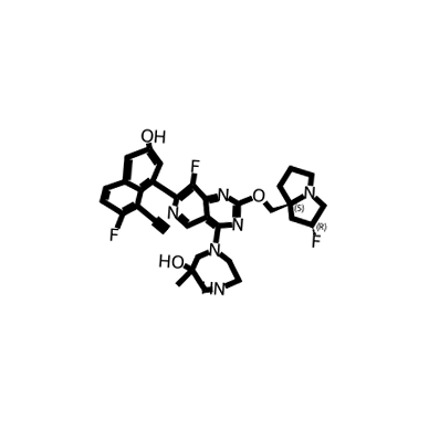 C#Cc1c(F)ccc2cc(O)cc(-c3ncc4c(N5CCNCC(C)(O)C5)nc(OC[C@@]56CCCN5C[C@H](F)C6)nc4c3F)c12